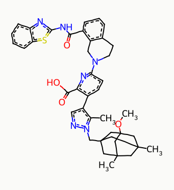 COC12CC3(C)CC(C)(CC(Cn4ncc(-c5ccc(N6CCc7cccc(C(=O)Nc8nc9ccccc9s8)c7C6)nc5C(=O)O)c4C)(C3)C1)C2